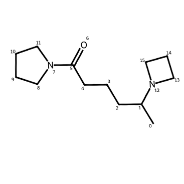 CC(CCCC(=O)N1CCCC1)N1CCC1